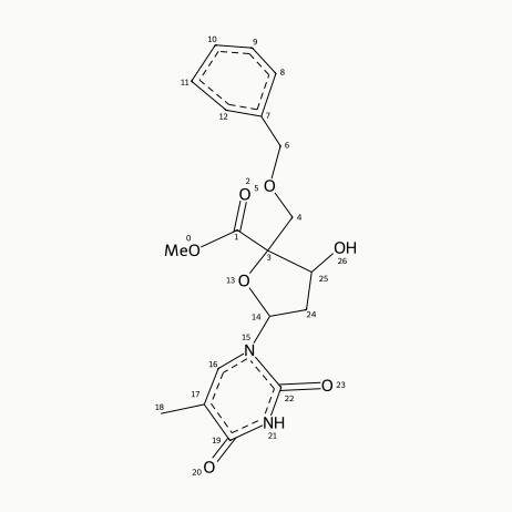 COC(=O)C1(COCc2ccccc2)OC(n2cc(C)c(=O)[nH]c2=O)CC1O